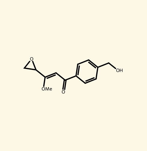 CO/C(=C\C(=O)c1ccc(CO)cc1)C1CO1